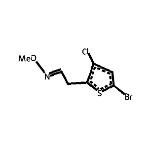 CON=CCc1sc(Br)cc1Cl